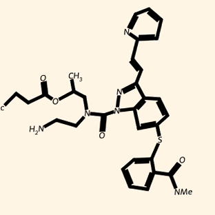 CNC(=O)c1ccccc1Sc1ccc2c(/C=C/c3ccccn3)nn(C(=O)N(CCN)CC(C)OC(=O)CCC(C)=O)c2c1